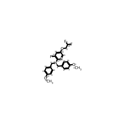 COc1ccc(CN(Cc2ccc(OC)cc2)c2ncc(OCC(F)F)cc2F)cc1